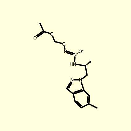 CC(=O)OCO/N=[N+](\[O-])N[C@@H](C)Cn1ncc2ccc(C)cc21